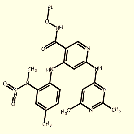 CCONC(=O)c1cnc(Nc2cc(C)nc(C)n2)cc1Nc1ccc(C)cc1N(C)[SH](=O)=O